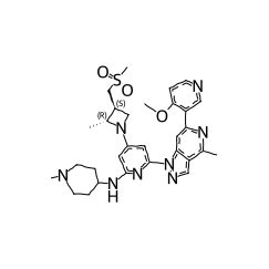 COc1ccncc1-c1cc2c(cnn2-c2cc(N3C[C@H](CS(C)(=O)=O)[C@H]3C)cc(NC3CCN(C)CC3)n2)c(C)n1